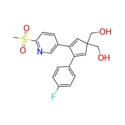 CS(=O)(=O)c1ccc(C2=CC(CO)(CO)C=C2c2ccc(F)cc2)cn1